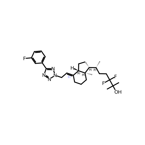 C[C@H](CCC(F)(F)C(C)(C)O)[C@H]1CC[C@H]2/C(=C/Cn3nnc(-c4cccc(F)c4)n3)CCC[C@]12C